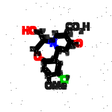 COc1cc2c(cc1Cl)-c1cc(=O)c(C(=O)O)cn1C(CO)CO2